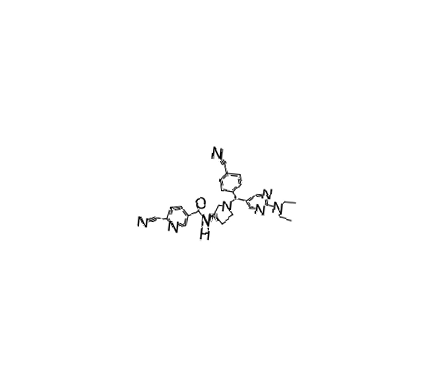 CCN(CC)c1ncc(C(c2ccc(C#N)cc2)N2CC[C@@H](NC(=O)c3ccc(C#N)nc3)C2)cn1